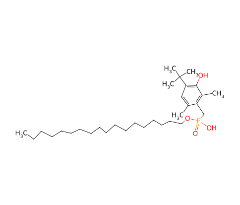 CCCCCCCCCCCCCCCCCCOP(=O)(O)Cc1c(C)cc(C(C)(C)C)c(O)c1C